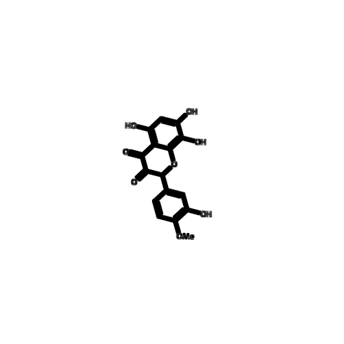 COc1ccc(C2Oc3c(O)c(O)cc(O)c3C(=O)C2=O)cc1O